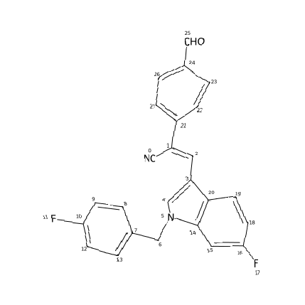 N#C/C(=C\c1cn(Cc2ccc(F)cc2)c2cc(F)ccc12)c1ccc(C=O)cc1